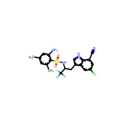 Cc1cc(C)c(S(=O)(=O)NC(Cc2c[nH]c3c(C#N)cc(Cl)cc23)C(F)(F)F)c(N)c1